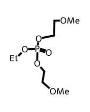 CCOP(=O)(OCCOC)OCCOC